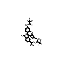 O=C(O)c1ccc2c(c1)C1(OC2=O)c2ccc(NC(=O)C(F)(F)F)cc2Oc2cc(NC(=O)C(F)(F)F)ccc21